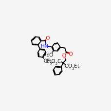 CCOC(=O)C(COC(=O)Cc1ccc(NC(=O)c2ccccc2-c2ccc(C(F)(F)F)cc2)c(OC(C)=O)c1)(C(=O)OCC)c1ccccc1